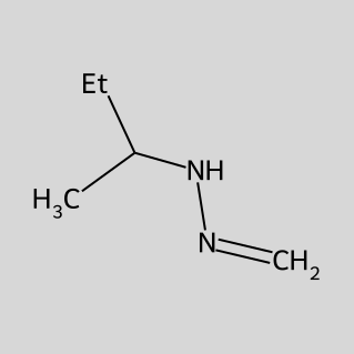 C=NNC(C)CC